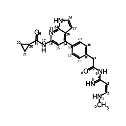 CN/C=C\C(=N)NC(=O)Cc1ccc(-c2cc(NC(=O)C3CC3)nc3[nH]ccc23)cc1